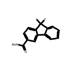 CNC(=O)c1ccc2c(c1)-c1ccccc1C2(F)I